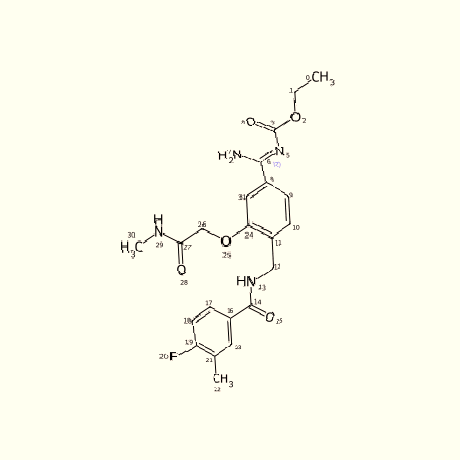 CCOC(=O)/N=C(\N)c1ccc(CNC(=O)c2ccc(F)c(C)c2)c(OCC(=O)NC)c1